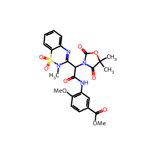 COC(=O)c1ccc(OC)c(NC(=O)C(C2=Nc3ccccc3S(=O)(=O)N2C)N2C(=O)OC(C)(C)C2=O)c1